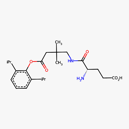 CC(C)c1cccc(C(C)C)c1OC(=O)CC(C)(C)CNC(=O)[C@@H](N)CCC(=O)O